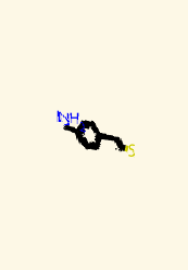 NCc1ccc(C[C]=S)cc1